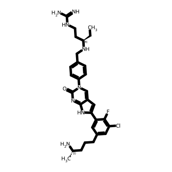 CC[C@H](CCNC(=N)N)NCc1ccc(-n2cc3cc(-c4cc(CCC[C@H](C)N)cc(Cl)c4F)[nH]c3nc2=O)cc1